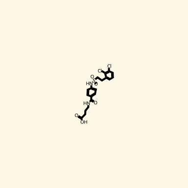 O=C(O)CCCNC(=O)c1ccc(NS(=O)(=O)CCc2cccc(Cl)c2Cl)cc1